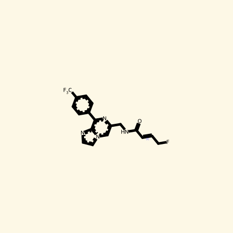 O=C(/C=C/CF)NCc1cn2ccnc2c(-c2ccc(C(F)(F)F)cc2)n1